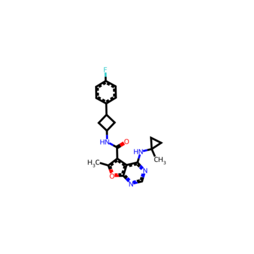 Cc1oc2ncnc(NC3(C)CC3)c2c1C(=O)NC1CC(c2ccc(F)cc2)C1